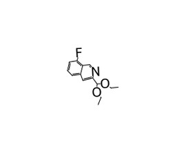 CCOC(OCC)c1cc2cccc(F)c2cn1